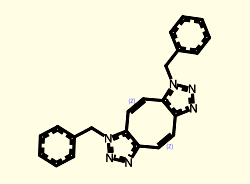 C1=C\c2nnn(Cc3ccccc3)c2/C=C\c2c/1nnn2Cc1ccccc1